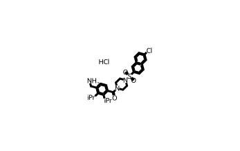 CC(C)c1c(CN)ccc(C(=O)N2CCN(S(=O)(=O)c3ccc4cc(Cl)ccc4c3)CC2)c1C(C)C.Cl